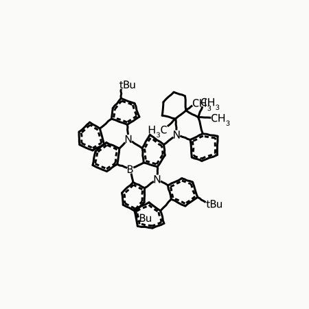 CC(C)(C)c1ccc(N2c3ccccc3B3c4ccc(C(C)(C)C)cc4N(c4ccc(C(C)(C)C)cc4-c4ccccc4)c4cc(N5c6ccccc6C(C)(C)C6(C)CCCCC56C)cc2c43)c(-c2ccccc2)c1